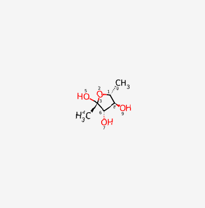 C[C@H]1O[C@@](C)(O)[C@@H](O)[C@@H]1O